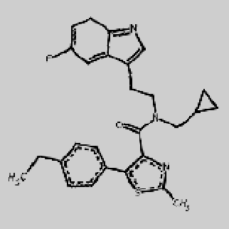 CCc1ccc(-c2sc(C)nc2C(=O)N(CCC2=CN=C3CC=C(F)C=C23)CC2CC2)cc1